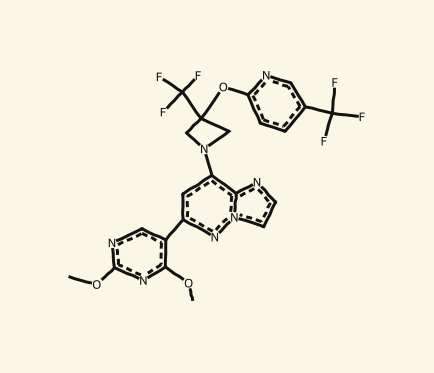 COc1ncc(-c2cc(N3CC(Oc4ccc(C(F)(F)F)cn4)(C(F)(F)F)C3)c3nccn3n2)c(OC)n1